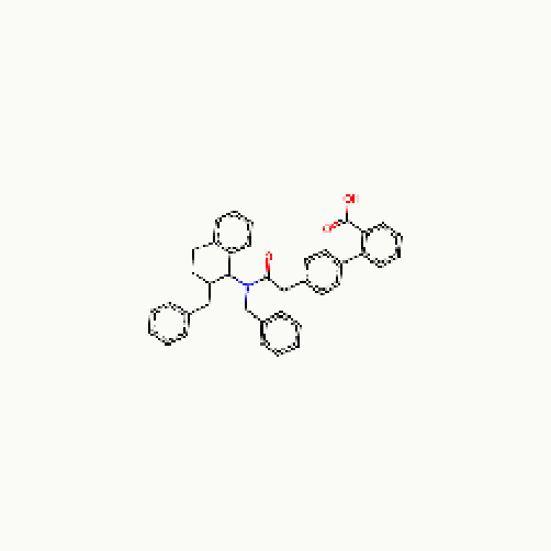 O=C(O)c1ccccc1-c1ccc(CC(=O)N(Cc2ccccc2)C2c3ccccc3CCC2Cc2ccccc2)cc1